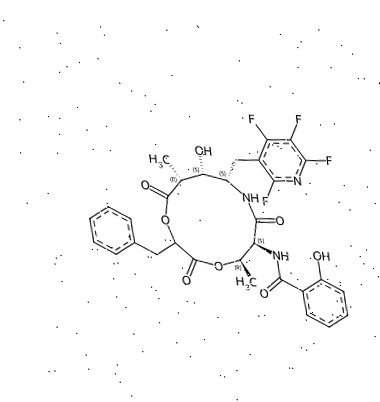 C[C@H]1OC(=O)C(Cc2ccccc2)OC(=O)[C@H](C)[C@H](O)[C@H](Cc2c(F)nc(F)c(F)c2F)NC(=O)[C@H]1NC(=O)c1ccccc1O